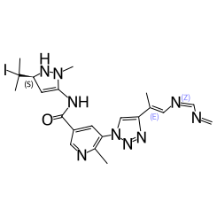 C=N/C=N\C=C(/C)c1cn(-c2cc(C(=O)NC3=C[C@@H](C(C)(C)I)NN3C)cnc2C)nn1